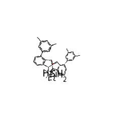 C[CH2][Hf]([CH3])([CH3])([CH3])(=[SiH2])([CH]1C=Cc2c(-c3cc(C)cc(C)c3)cccc21)[CH]1C=Cc2c(-c3cc(C)cc(C)c3)cccc21